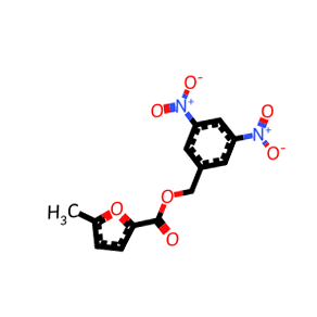 Cc1ccc(C(=O)OCc2cc([N+](=O)[O-])cc([N+](=O)[O-])c2)o1